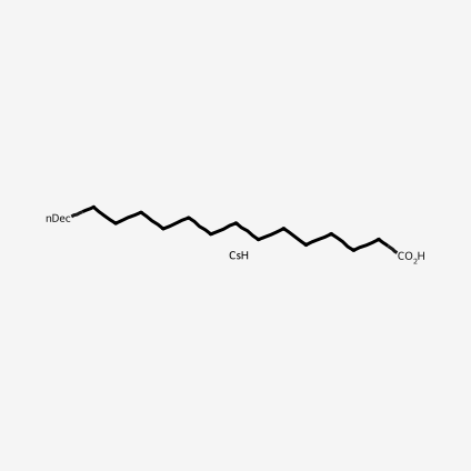 CCCCCCCCCCCCCCCCCCCCCCCC(=O)O.[CsH]